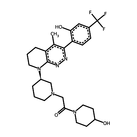 Cc1c(-c2ccc(C(F)(F)F)cc2O)nnc2c1CCCN2[C@@H]1CCCN(CC(=O)N2CCC(O)CC2)C1